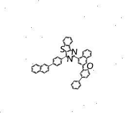 c1ccc(-c2ccc3oc4c5ccccc5c(-c5nc(-c6ccc(-c7ccc8ccccc8c7)cc6)c6sc7ccccc7c6n5)cc4c3c2)cc1